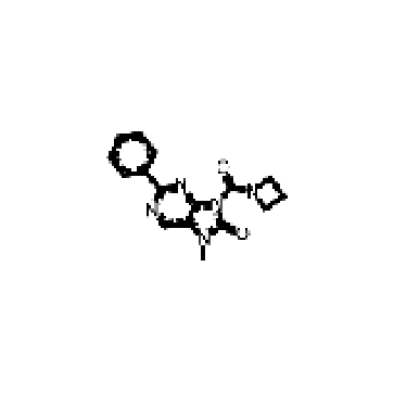 Cn1c(=O)n(C(=O)N2CCC2)c2nc(-c3ccccc3)ncc21